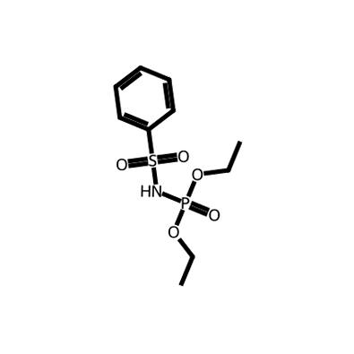 CCOP(=O)(NS(=O)(=O)c1ccccc1)OCC